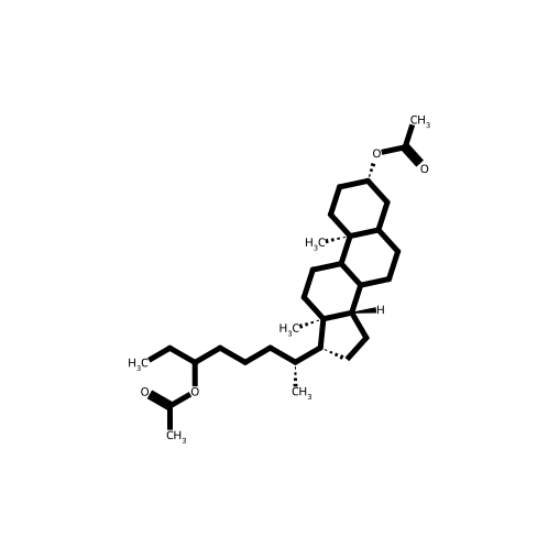 CCC(CCC[C@@H](C)[C@H]1CC[C@H]2C3CCC4C[C@@H](OC(C)=O)CC[C@]4(C)C3CC[C@]12C)OC(C)=O